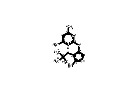 Cc1cc(C)nc(Sc2csc(O)c2CC(C)(C)C)n1